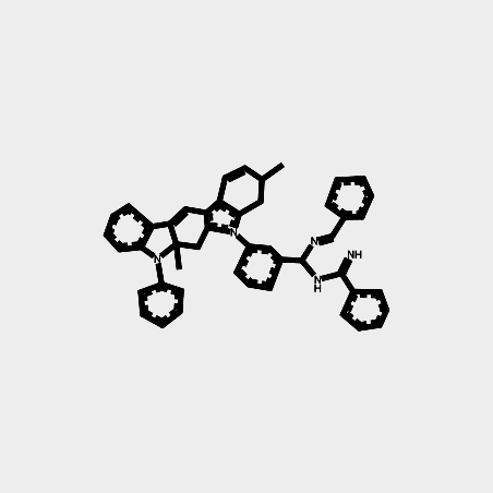 CC1C=Cc2c3c(n(-c4cccc(C(/N=C/c5ccccc5)NC(=N)c5ccccc5)c4)c2C1)CC1(C)C(=C3)c2ccccc2N1c1ccccc1